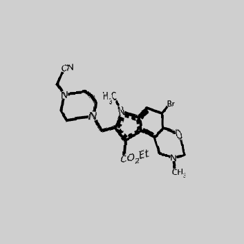 CCOC(=O)c1c(CN2CCN(CC#N)CC2)n(C)c2c1=C1CN(C)COC1C(Br)C=2